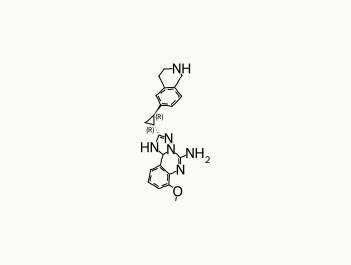 COc1cccc2c1N=C(N)N1N=C([C@@H]3C[C@H]3c3ccc4c(c3)CCNC4)NC21